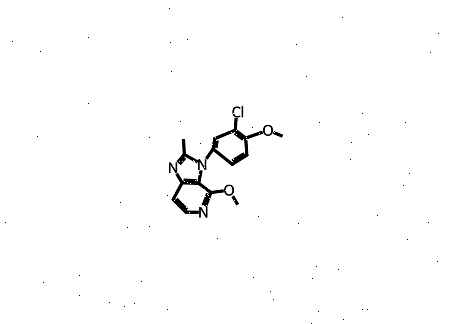 COc1ccc(-n2c(C)nc3ccnc(OC)c32)cc1Cl